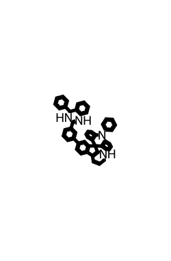 N=C(NC(c1ccccc1)c1ccccc1)c1cccc(-c2ccc3c(c2)C2(C4=C3C=CCN4)c3ccccc3N(c3ccccc3)c3ccccc32)c1